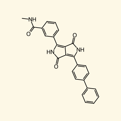 CNC(=O)c1cccc(C2=C3C(=O)NC(c4ccc(-c5ccccc5)cc4)=C3C(=O)N2)c1